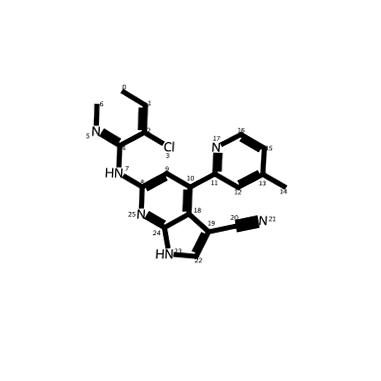 C/C=C(Cl)\C(=N/C)Nc1cc(-c2cc(C)ccn2)c2c(C#N)c[nH]c2n1